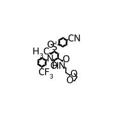 Cc1c([S+]([O-])c2ccc(C#N)cc2)cc(C(=O)NCCC2OCCO2)c(=O)n1-c1cccc(C(F)(F)F)c1